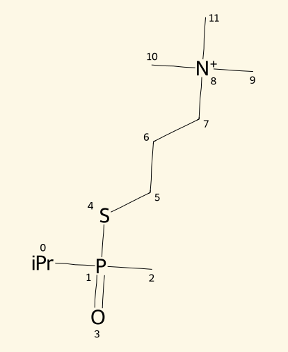 CC(C)P(C)(=O)SCCC[N+](C)(C)C